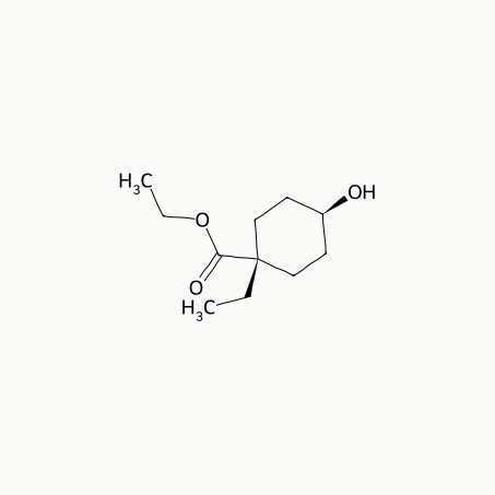 CCOC(=O)[C@]1(CC)CC[C@@H](O)CC1